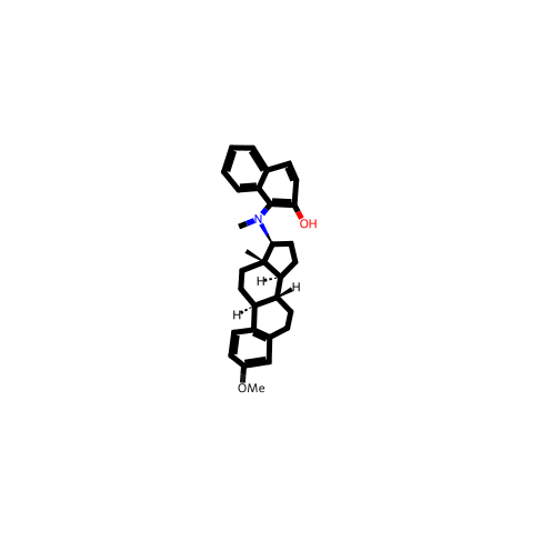 COc1ccc2c(c1)CC[C@@H]1[C@@H]2CC[C@]2(C)[C@@H](N(C)c3c(O)ccc4ccccc34)CC[C@@H]12